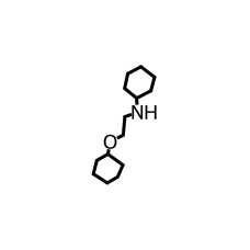 C1CCC(NCCOC2CCCCC2)CC1